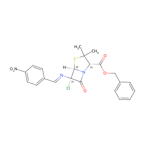 CC1(C)S[C@H]2N(C(=O)[C@@]2(Cl)N=Cc2ccc([N+](=O)[O-])cc2)[C@H]1C(=O)OCc1ccccc1